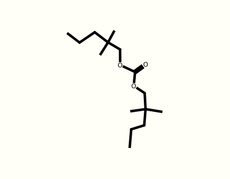 CCCC(C)(C)COC(=O)OCC(C)(C)CCC